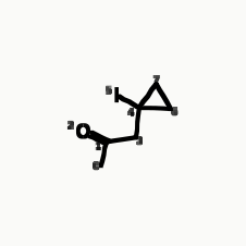 CC(=O)CC1(I)CC1